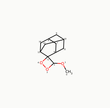 COC1OOC12C1CC3CC(C1)CC2C3